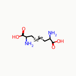 NC(C[Se][Se]CC(N)C(=O)O)C(=O)O